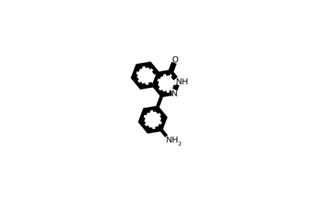 Nc1cccc(-c2n[nH]c(=O)c3ccccc23)c1